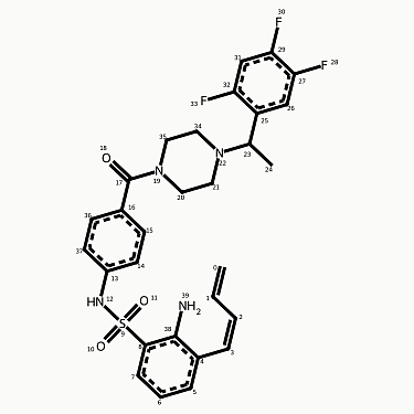 C=C/C=C\c1cccc(S(=O)(=O)Nc2ccc(C(=O)N3CCN(C(C)c4cc(F)c(F)cc4F)CC3)cc2)c1N